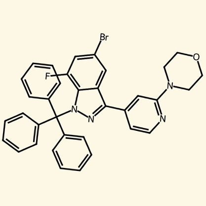 Fc1cc(Br)cc2c(-c3ccnc(N4CCOCC4)c3)nn(C(c3ccccc3)(c3ccccc3)c3ccccc3)c12